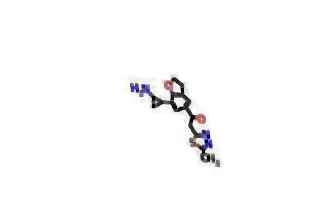 Cc1nnc(CC(=O)c2cc3c(c(C4CC4N)c2)OCC3)s1